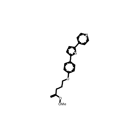 C=C(CCCOc1ccc(-c2ccc(-c3ccncc3)s2)cc1)OOC